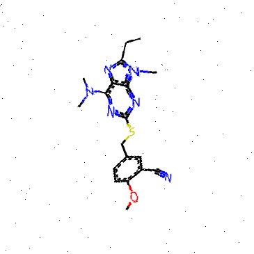 CCc1nc2c(N(C)C)nc(SCc3ccc(OC)c(C#N)c3)nc2n1C